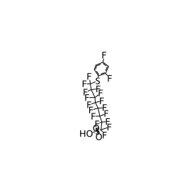 O=S(=O)(O)C(F)(F)C(F)(F)C(F)(F)C(F)(F)C(F)(F)C(F)(F)C(F)(F)C(F)(F)Sc1ccc(F)cc1F